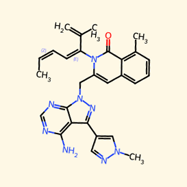 C=C(C)/C(=C\C=C/C)n1c(Cn2nc(-c3cnn(C)c3)c3c(N)ncnc32)cc2cccc(C)c2c1=O